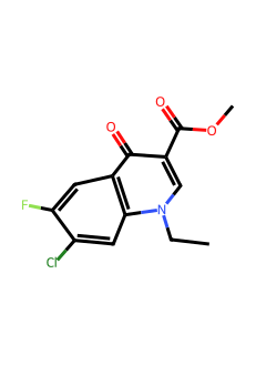 CCn1cc(C(=O)OC)c(=O)c2cc(F)c(Cl)cc21